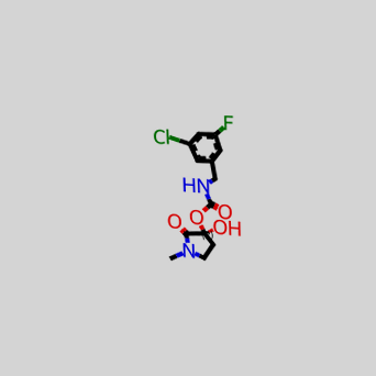 CN1CC[C@@](O)(OC(=O)NCc2cc(F)cc(Cl)c2)C1=O